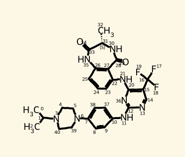 CC(C)N1CCN(c2ccc(Nc3ncc(C(F)(F)F)c(Nc4cccc5c4C(=O)N[C@@H](C)C(=O)N5)n3)cc2)CC1